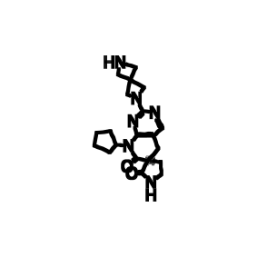 O=C1NCC[C@@]12Cc1cnc(N3CC4(CNC4)C3)nc1N(C1CCCC1)C2=O